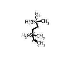 C=C[Si](C)(C)CC[Si](C)(C)C